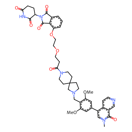 COc1cc(-c2cn(C)c(=O)c3cnccc23)cc(OC)c1CN1CCC2(CCN(C(=O)CCOCCOc3cccc4c3C(=O)N(C3CCC(=O)NC3=O)C4=O)CC2)C1